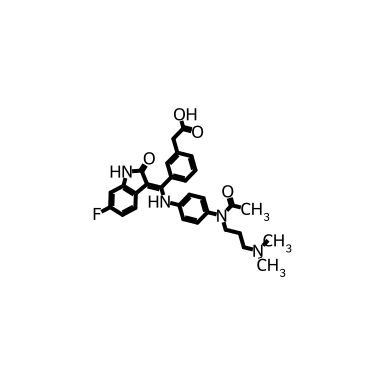 CC(=O)N(CCCN(C)C)c1ccc(NC(=C2C(=O)Nc3cc(F)ccc32)c2cccc(CC(=O)O)c2)cc1